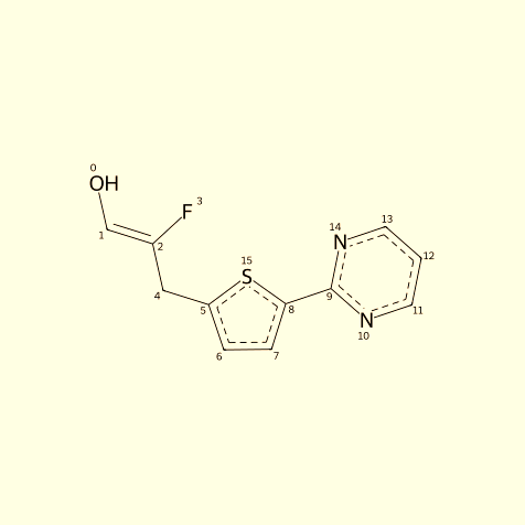 O/C=C(\F)Cc1ccc(-c2ncccn2)s1